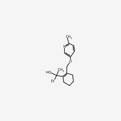 CCC(C)(O)C1=C(COc2ccc(C)nc2)CCCC1